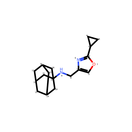 c1oc(C2CC2)nc1CNC12CC3CC(CC(C3)C1)C2